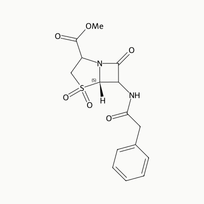 COC(=O)C1CS(=O)(=O)[C@H]2C(NC(=O)Cc3ccccc3)C(=O)N12